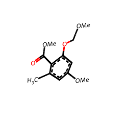 COCOc1cc(OC)cc(C)c1C(=O)OC